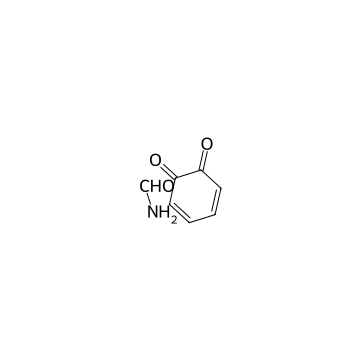 NC=O.O=C1C=CC=CC1=O